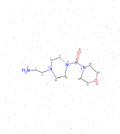 NCCN1CCN(C(=O)N2CCOCC2)CC1